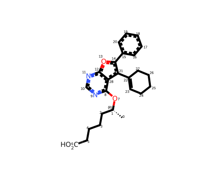 C[C@H](CCCCC(=O)O)Oc1ncnc2oc(-c3ccccc3)c(C3=CCCCC3)c12